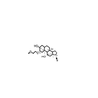 COCCO[C@H]1C[C@@]2(C)C(CC[C@@H]3C2[C@@H](O)C[C@@]2(C)C3CC[C@@H]2C#N)C[C@@H]1O